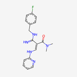 CN(C)C(=O)/C(=C/Nc1ccccn1)C(=N)NCc1ccc(F)cc1